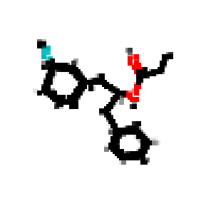 CCC(=O)OC(Cc1ccccc1)Cc1cccc(F)c1